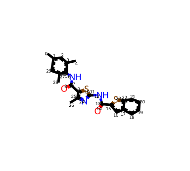 Cc1cc(C)c(NC(=O)c2sc(NC(=O)c3cc4ccccc4s3)nc2C)c(C)c1